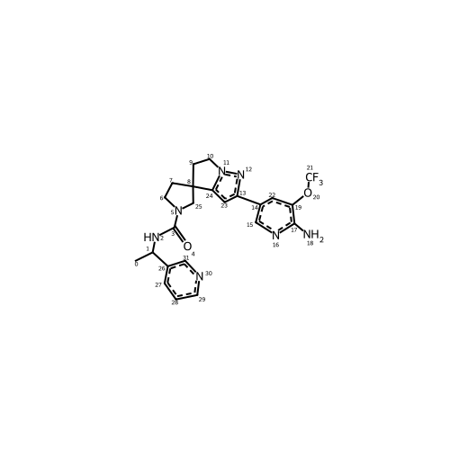 CC(NC(=O)N1CCC2(CCn3nc(-c4cnc(N)c(OC(F)(F)F)c4)cc32)C1)c1cccnc1